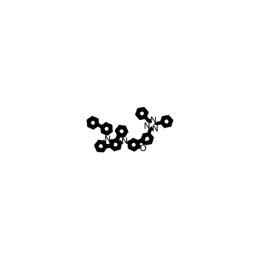 c1ccc(-c2cccc(-n3c4ccccc4c4ccc5c(c6ccccc6n5-c5ccc6oc7ccc(-c8nc(-c9ccccc9)nc(-c9ccccc9)n8)cc7c6c5)c43)c2)cc1